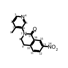 Cc1ccncc1N1CCc2ccc([N+](=O)[O-])cc2C1=O